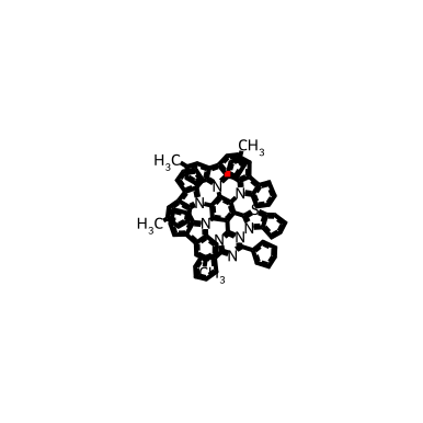 Cc1ccc2c(c1)c1ccccc1n2-c1c(-c2nc(-c3ccccc3)nc(-c3ccccc3)n2)c(-c2nc3ccccc3s2)c(-n2c3ccccc3c3cc(C)ccc32)c(-n2c3ccccc3c3cc(C)ccc32)c1-n1c2ccccc2c2cc(C)ccc21